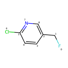 FCc1ccc(Cl)nc1